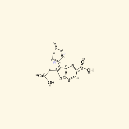 C=C/C=C\C(=C/C)C1=C(CC(=O)O)Cc2ccc(C(=O)O)cc21